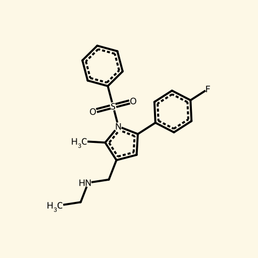 CCNCc1cc(-c2ccc(F)cc2)n(S(=O)(=O)c2ccccc2)c1C